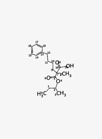 CCC(C)OC(=O)C(C)(CCCCc1ccccc1)C(=O)O